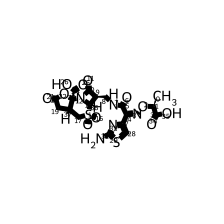 C[C@@H](O/N=C(\C(=O)NC[C@@H]1C(=O)N2[C@@H]1S(=O)(=O)C[C@@H]1CC(=O)O[C@@]12C(=O)O)c1csc(N)n1)C(=O)O